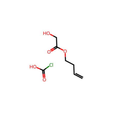 C=CCCOC(=O)CO.O=C(O)Cl